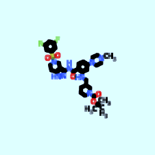 CN1CCN(c2ccc(C(=O)Nc3n[nH]c4c3CN(S(=O)(=O)c3cc(F)cc(F)c3)CC4)c(NCC3CCCN(C(=O)OC(C)(C)C)C3)c2)CC1